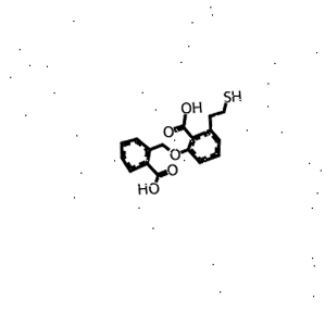 O=C(O)c1ccccc1COc1cccc(CCS)c1C(=O)O